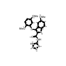 COc1ccc(OC)c(Sc2c(C(=O)Nc3nnn[nH]3)sc3ccc(OC)cc23)c1